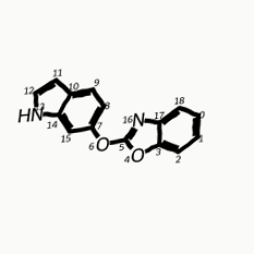 c1ccc2oc(Oc3ccc4cc[nH]c4c3)nc2c1